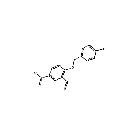 O=Cc1cc([N+](=O)[O-])ccc1OCc1ccc(F)cc1